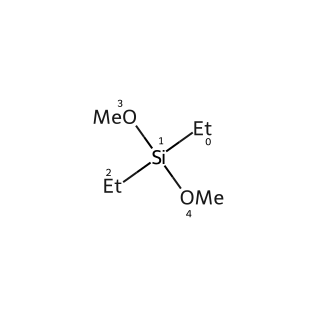 CC[Si](CC)(OC)OC